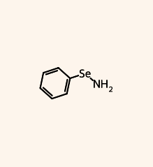 N[Se]c1ccccc1